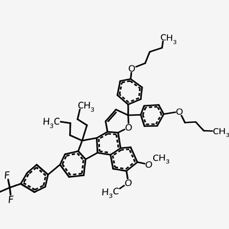 CCCCOc1ccc(C2(c3ccc(OCCCC)cc3)C=Cc3c4c(c5cc(OC)c(OC)cc5c3O2)-c2ccc(-c3ccc(C(F)(F)F)cc3)cc2C4(CCC)CCC)cc1